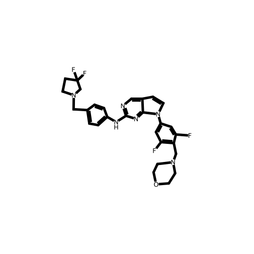 Fc1cc(-n2ccc3cnc(Nc4ccc(CN5CCC(F)(F)C5)cc4)nc32)cc(F)c1CN1CCOCC1